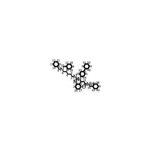 CN(CCCCCN(Cc1ccccc1)Cc1ccccc1)C1=Nc2ccccc2C(CC(=O)NCc2ccccc2)N1c1ccc(-c2ccccc2)cc1